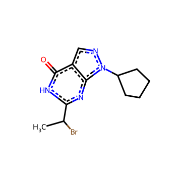 CC(Br)c1nc2c(cnn2C2CCCC2)c(=O)[nH]1